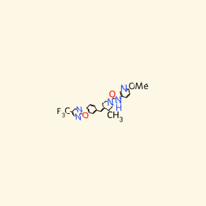 COc1ccc(NC(=O)N2CCC(=Cc3cccc(Oc4ncc(C(F)(F)F)cn4)c3)C(C)C2)cn1